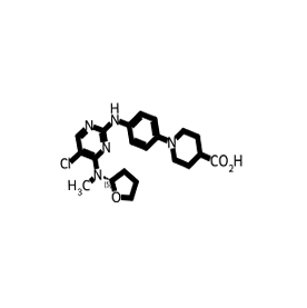 CN(c1nc(Nc2ccc(N3CCC(C(=O)O)CC3)cc2)ncc1Cl)[C@@H]1CCCO1